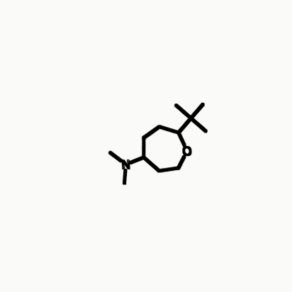 CN(C)C1CCOC(C(C)(C)C)CC1